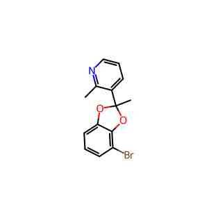 Cc1ncccc1C1(C)Oc2cccc(Br)c2O1